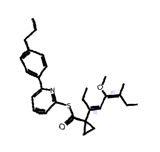 CCCc1ccc(-c2cccc(SC(=O)C3(/C(=C/C(OC)=C(/C)CC)CC)CC3)n2)cc1